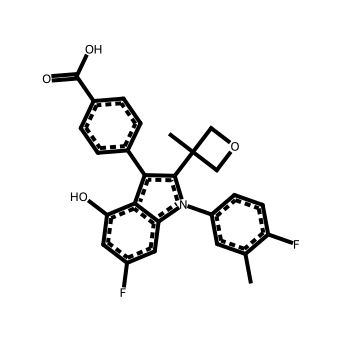 Cc1cc(-n2c(C3(C)COC3)c(-c3ccc(C(=O)O)cc3)c3c(O)cc(F)cc32)ccc1F